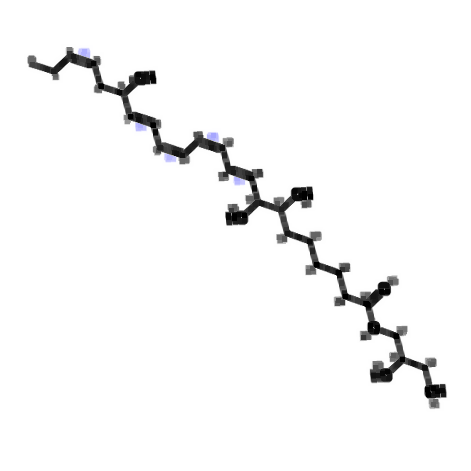 CC/C=C\CC(O)/C=C/C=C\C=C/C=C/C(O)C(O)CCCCCC(=O)OCC(O)CO